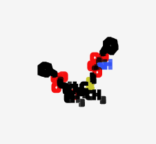 CC(C)(CCC(=O)C(=O)OCc1ccccc1)OCCC(C)(C)SSCCOC(=O)NC(=O)OCc1ccccc1